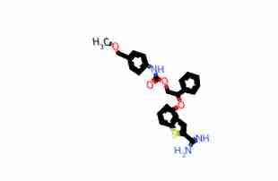 COCc1ccc(NC(=O)OCC(Oc2cccc3sc(C(=N)N)cc23)c2ccccc2)cc1